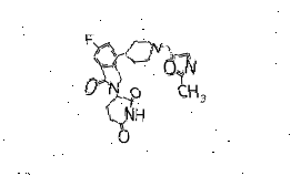 Cc1ncc(CN2CCC(c3cc(F)cc4c3CN(C3CCC(=O)NC3=O)C4=O)CC2)o1